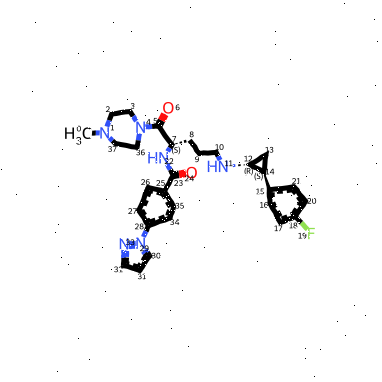 CN1CCN(C(=O)[C@H](CCCN[C@@H]2C[C@H]2c2ccc(F)cc2)NC(=O)c2ccc(-n3cccn3)cc2)CC1